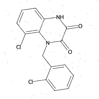 O=c1[nH]c2cccc(Cl)c2n(Cc2ccccc2Cl)c1=O